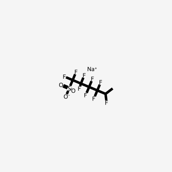 CC(F)C(F)(F)C(F)(F)C(F)(F)C(F)(F)S(=O)(=O)[O-].[Na+]